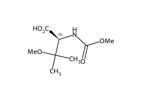 COC(=O)N[C@H](C(=O)O)C(C)(C)OC